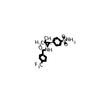 CC1(C)[C@@H](NC(=O)c2ccc(C(F)(F)F)cc2)[C@@H]1c1ccc(S(N)(=O)=O)cc1